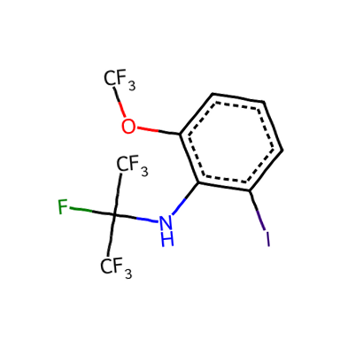 FC(F)(F)Oc1cccc(I)c1NC(F)(C(F)(F)F)C(F)(F)F